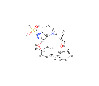 C[C@H]1CN2CCC[C@H](NS(C)(=O)=O)C2CO[C@]2(C)CC[C@@](C)(CC2)c2ccccc2O1